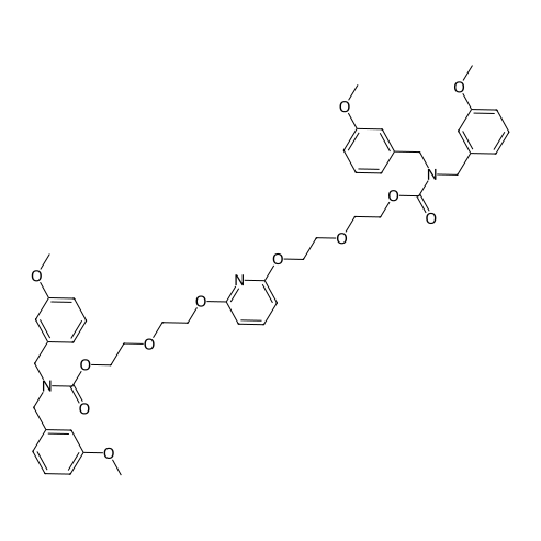 COc1cccc(CN(Cc2cccc(OC)c2)C(=O)OCCOCCOc2cccc(OCCOCCOC(=O)N(Cc3cccc(OC)c3)Cc3cccc(OC)c3)n2)c1